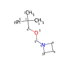 CCCC(C)(C)COCN1CCC1